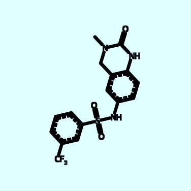 CN1Cc2cc(NS(=O)(=O)c3cccc(C(F)(F)F)c3)ccc2NC1=O